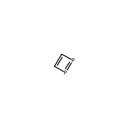 C1=CP=P1